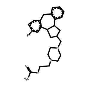 CC(=O)OCCN1CCN(CC2CC3c4ccccc4Cc4ccc(F)cc4C3C2)CC1